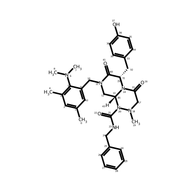 Cc1cc(C)c(N(C)C)c(CN2C[C@@H]3N(C(=O)CN(C)N3C(=O)NCc3ccccc3)[C@@H](Cc3ccc(O)cc3)C2=O)c1